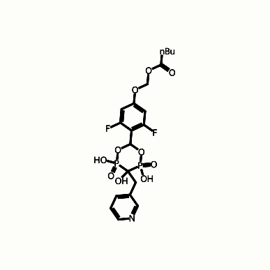 CCCCC(=O)OCOc1cc(F)c(C2OP(=O)(O)C(O)(Cc3cccnc3)P(=O)(O)O2)c(F)c1